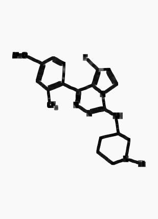 CCN1CCCC(Nc2nnc(-c3ccc(OC)cc3C(F)(F)F)c3c(F)ccn23)C1